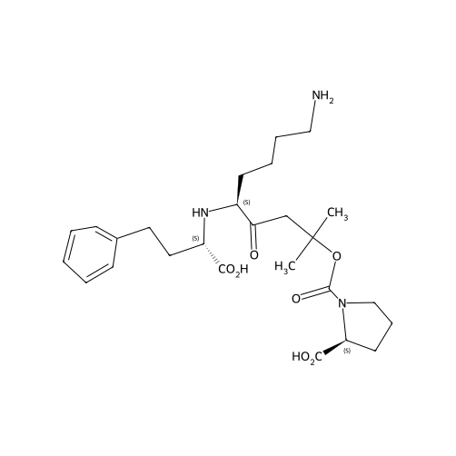 CC(C)(CC(=O)[C@H](CCCCN)N[C@@H](CCc1ccccc1)C(=O)O)OC(=O)N1CCC[C@H]1C(=O)O